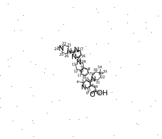 Cc1nc(C)c(-c2ccc3c(c2)CCN(c2ccnc(N4CCN(C)CC4)n2)C3)c(N2CCC(C)(C)CC2)c1CC(=O)O